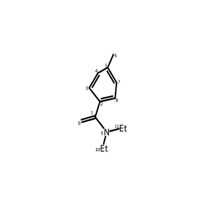 C=C(c1ccc(C)cc1)N(CC)CC